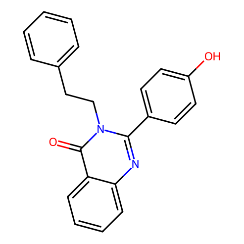 O=c1c2ccccc2nc(-c2ccc(O)cc2)n1CCc1ccccc1